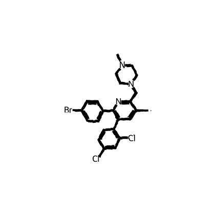 [CH2]c1cc(-c2ccc(Cl)cc2Cl)c(-c2ccc(Br)cc2)nc1CN1CCN(C)CC1